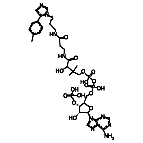 Cc1ccc(-c2cncn2SCCNC(=O)CCNC(=O)C(O)C(C)(C)COP(=O)(O)OP(=O)(O)OC[C@H]2O[C@@H](n3cnc4c(N)ncnc43)[C@H](O)[C@@H]2OP(=O)(O)O)cc1